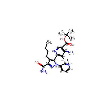 CCCCc1c(C(N)=O)nn(-c2cccnc2)c1-c1ncc(C(=O)OC(C)(C)C)c(N)c1C